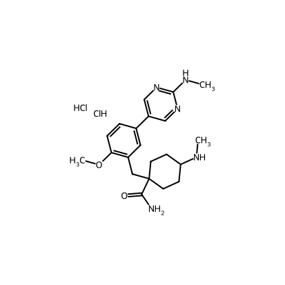 CNc1ncc(-c2ccc(OC)c(CC3(C(N)=O)CCC(NC)CC3)c2)cn1.Cl.Cl